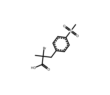 CC(Br)(Cc1ccc(S(C)(=O)=O)cc1)C(=O)O